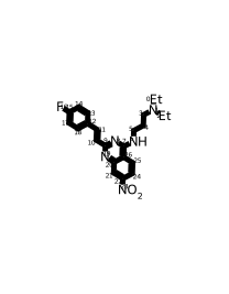 CCN(CC)CCCNc1nc(C=Cc2ccc(F)cc2)nc2cc([N+](=O)[O-])ccc12